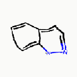 C1=CC2=CC=N[N]C2=CC1